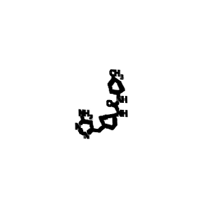 Cc1ccc(NC(=O)Nc2ccc(Cc3cc(N)ncn3)cc2)cc1